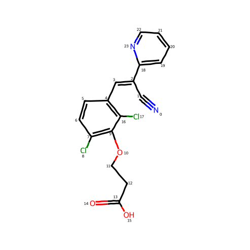 N#CC(=Cc1ccc(Cl)c(OCCC(=O)O)c1Cl)c1ccccn1